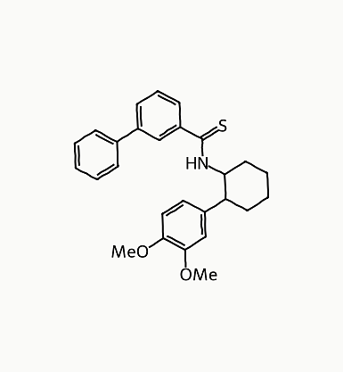 COc1ccc(C2CCCCC2NC(=S)c2cccc(-c3ccccc3)c2)cc1OC